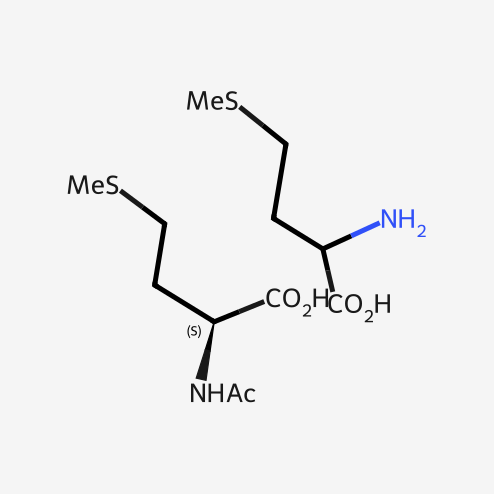 CSCCC(N)C(=O)O.CSCC[C@H](NC(C)=O)C(=O)O